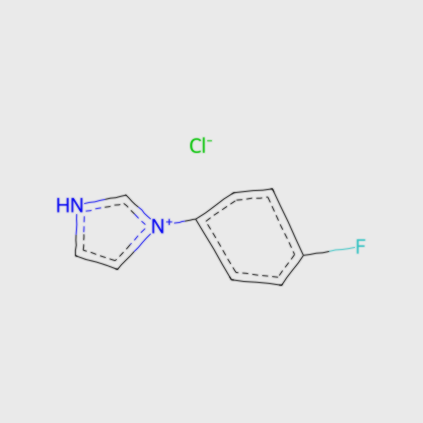 Fc1ccc(-[n+]2cc[nH]c2)cc1.[Cl-]